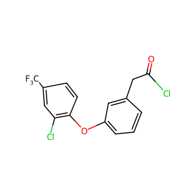 O=C(Cl)Cc1cccc(Oc2ccc(C(F)(F)F)cc2Cl)c1